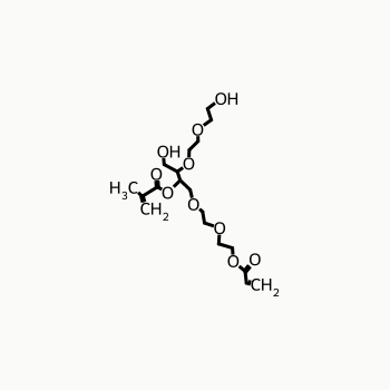 C=CC(=O)OCCOCCOCC(OC(=O)C(=C)C)C(CO)OCCOCCO